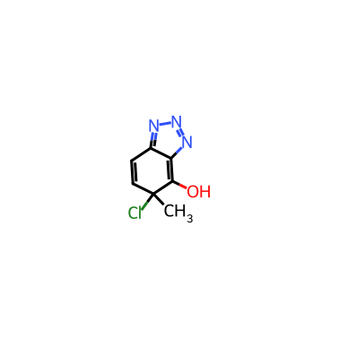 CC1(Cl)C=CC2=NN=NC2=C1O